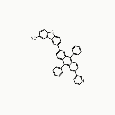 N#Cc1ccc2sc3ccc(-c4ccc5c(-c6ccccc6)c6cc(-c7cccnc7)ccc6c(-c6ccccc6)c5c4)cc3c2c1